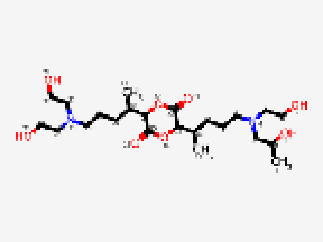 CC(O)CN(CCO)CCCC(C)C1OC(=O)C(C(C)CCCN(CCO)CCO)OC1=O